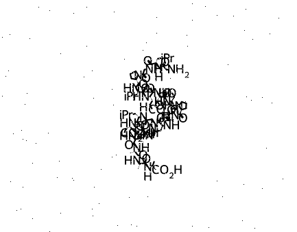 CC(C)C[C@H](NC(=O)CN)C(=O)NCC(=O)N1CCC[C@H]1C(=O)N[C@H](C(=O)N[C@@H](CCC(=O)O)C(=O)N[C@@H](CO)C(=O)N[C@@H](CO)C(=O)N1CCC[C@H]1C(=O)NCC(=O)N[C@@H](Cc1c[nH]cn1)C(=O)NCC(=O)N[C@@H](CC(C)C)C(=O)N[C@@H](CC(=O)O)C(=O)N[C@H](C(=O)N[C@@H](C)C(=O)N[C@@H](C)C(=O)N[C@@H](C)C(=O)O)[C@@H](C)O)C(C)C